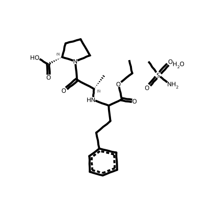 CCOC(=O)C(CCc1ccccc1)N[C@@H](C)C(=O)N1CCC[C@H]1C(=O)O.CS(N)(=O)=O.O